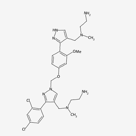 COc1cc(OCn2cc(CN(C)CCN)c(-c3ccc(Cl)cc3Cl)n2)ccc1-c1n[nH]cc1CN(C)CCN